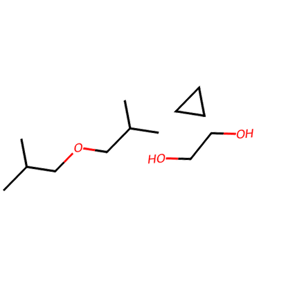 C1CC1.CC(C)COCC(C)C.OCCO